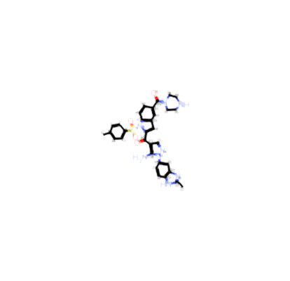 Cc1ccc(S(=O)(=O)n2c(C(=O)c3cnn(-c4ccc5[nH]c(C)nc5c4)c3N)cc3cc(C(=O)N4CCNCC4)ccc32)cc1